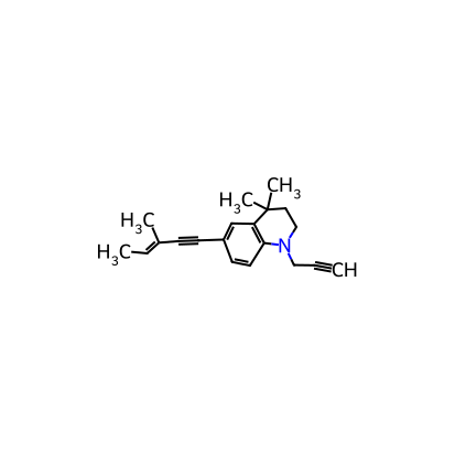 C#CCN1CCC(C)(C)c2cc(C#C/C(C)=C/C)ccc21